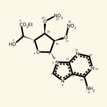 CCOC(=O)C(O)[C@H]1O[C@@H](n2cnc3c(N)ncnc32)[C@H](O[N+](=O)[O-])[C@@H]1O[N+](=O)[O-]